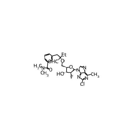 CCC(C=O)(Cc1cccc(C(=O)N(C)C)c1)OC[C@H]1O[C@@H](n2cnc3c(C)nc(Cl)nc32)[C@@H](F)[C@@H]1O